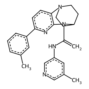 C=C(Nc1cncc(C)c1)N1c2nc(-c3cccc(C)c3)ccc2N2CCC1CC2